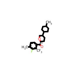 Cc1ccc(C(=O)[C@@H]2CCC(C3CCC(C)CC3)CO2)c(C(F)(F)F)c1F